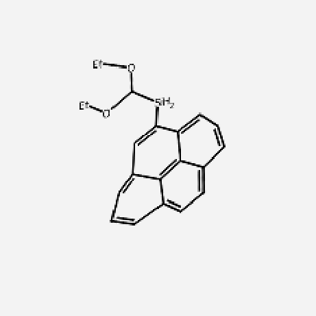 CCOC(OCC)[SiH2]c1cc2cccc3ccc4cccc1c4c32